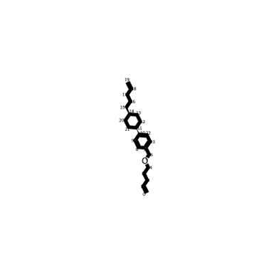 C=CCCCOCc1ccc([C@H]2CC[C@H](CCCC=C)CC2)cc1